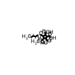 CCCCCOC(=O)C1=C(C(=O)OC)C(C(=O)O)=C(C(=O)O)C1C(=O)O